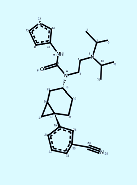 CC(C)N(CCN(C(=O)Nc1ccsc1)[C@@H]1CC[C@]2(c3cccc(C#N)c3)CC2C1)C(C)C